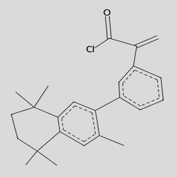 C=C(C(=O)Cl)c1cccc(-c2cc3c(cc2C)C(C)(C)CCC3(C)C)c1